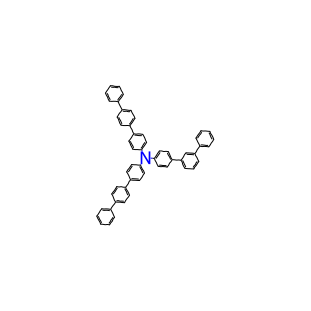 c1ccc(-c2ccc(-c3ccc(N(c4ccc(-c5ccc(-c6ccccc6)cc5)cc4)c4ccc(-c5cccc(-c6ccccc6)c5)cc4)cc3)cc2)cc1